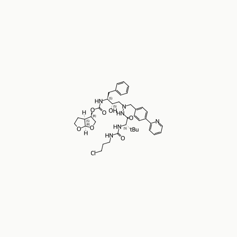 CC(C)(C)[C@H](NC(=O)NCCCCl)C(=O)NN(Cc1ccc(-c2ccccn2)cc1)C[C@H](O)[C@H](Cc1ccccc1)NC(=O)O[C@H]1CO[C@H]2OCC[C@H]21